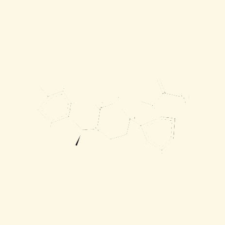 C[C@@H](c1ccc(F)cc1)N1CC[C@](CCC(N)=O)(c2ccccc2)OC1=O